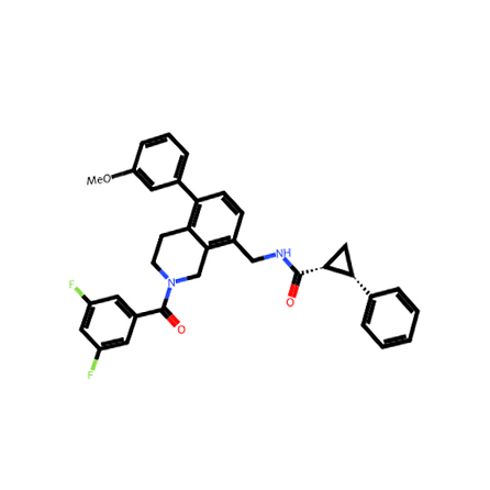 COc1cccc(-c2ccc(CNC(=O)[C@@H]3C[C@@H]3c3ccccc3)c3c2CCN(C(=O)c2cc(F)cc(F)c2)C3)c1